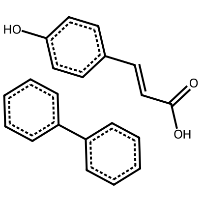 O=C(O)/C=C/c1ccc(O)cc1.c1ccc(-c2ccccc2)cc1